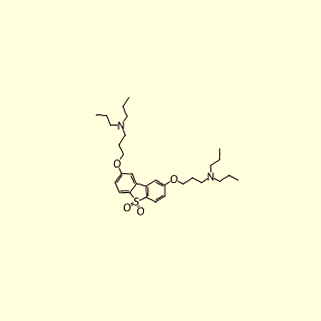 CCCN(CCC)CCCOc1ccc2c(c1)-c1cc(OCCCN(CCC)CCC)ccc1S2(=O)=O